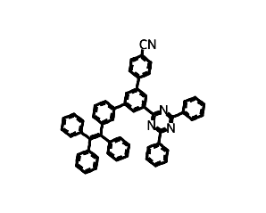 N#Cc1ccc(-c2cc(-c3cccc(C(=C(c4ccccc4)c4ccccc4)c4ccccc4)c3)cc(-c3nc(-c4ccccc4)nc(-c4ccccc4)n3)c2)cc1